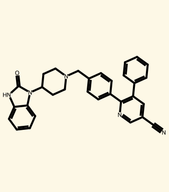 N#Cc1cnc(-c2ccc(CN3CCC(n4c(=O)[nH]c5ccccc54)CC3)cc2)c(-c2ccccc2)c1